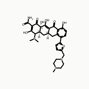 CN1CCN(Cc2ccc(-c3ccc(O)c4c3C[C@H]3C[C@H]5C(N(C)C)C(O)=C(C(N)=O)C(=O)[C@@]5(O)C(O)=C3C4=O)o2)CC1